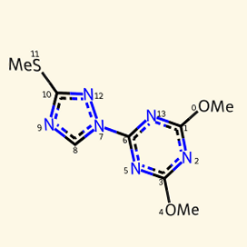 COc1nc(OC)nc(-n2cnc(SC)n2)n1